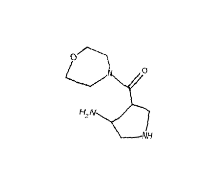 NC1CNCC1C(=O)N1CCOCC1